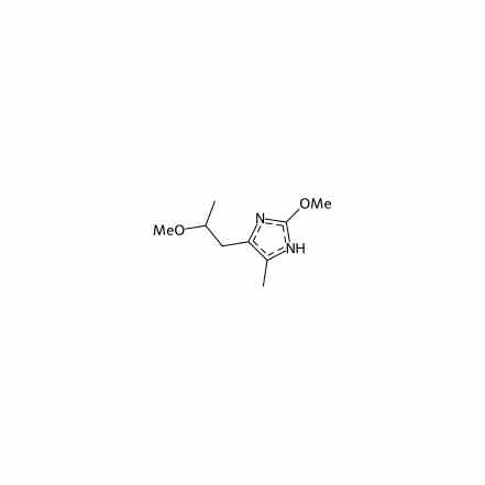 COc1nc(CC(C)OC)c(C)[nH]1